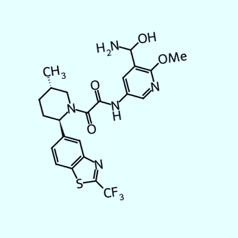 COc1ncc(NC(=O)C(=O)N2C[C@@H](C)CC[C@@H]2c2ccc3sc(C(F)(F)F)nc3c2)cc1C(N)O